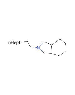 CCCCCCCCCN1CC2CCCCC2C1